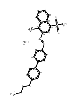 CCCCc1ccc(-c2ccc(N=Nc3cc(S(=O)(=O)O)c4ccccc4c3N)cn2)cc1.[NaH]